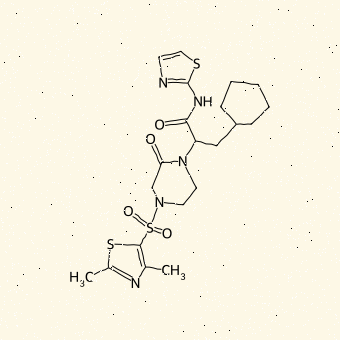 Cc1nc(C)c(S(=O)(=O)N2CCN(C(CC3CCCCC3)C(=O)Nc3nccs3)C(=O)C2)s1